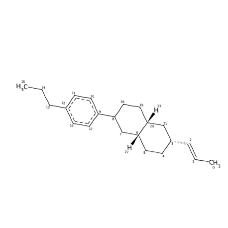 CC=C[C@@H]1CC[C@@H]2CC(c3ccc(CCC)cc3)CC[C@@H]2C1